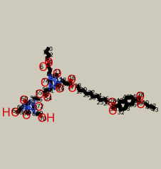 CCCCOC(=O)CCn1c(=O)n(CCC(=O)OCCCCCCCCCCOC(=O)c2ccc3cc(C(=O)OCCCC)ccc3c2)c(=O)n(CCC(=O)OCCn2c(=O)n(CCO)c(=O)n(CCO)c2=O)c1=O